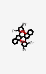 CC(C)c1cc(C(C)C)c(-c2cc3ccccc3c(O)c2-c2c(-c3c(C(C)C)cc(C(C)C)cc3C(C)C)cc3ccccc3c2O)c(C(C)C)c1